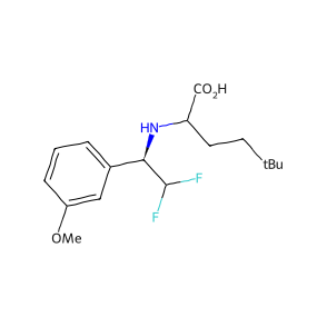 COc1cccc([C@@H](NC(CCC(C)(C)C)C(=O)O)C(F)F)c1